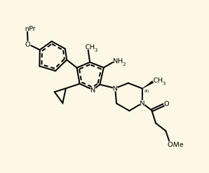 CCCOc1ccc(-c2c(C3CC3)nc(N3CCN(C(=O)CCOC)[C@H](C)C3)c(N)c2C)cc1